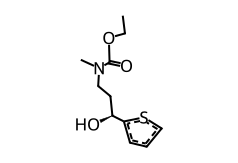 CCOC(=O)N(C)CC[C@H](O)c1cccs1